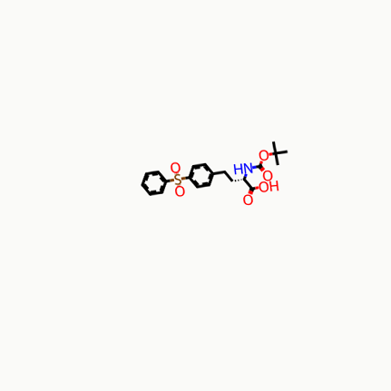 CC(C)(C)OC(=O)N[C@@H](CCc1ccc(S(=O)(=O)c2ccccc2)cc1)C(=O)O